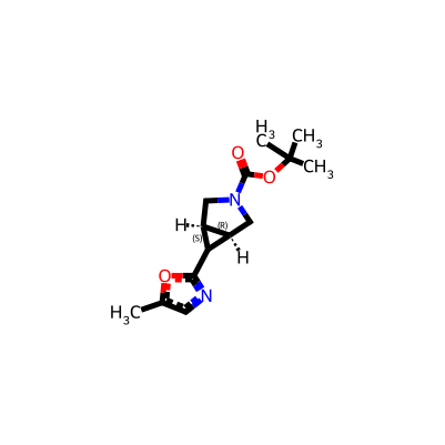 Cc1cnc(C2[C@H]3CN(C(=O)OC(C)(C)C)C[C@@H]23)o1